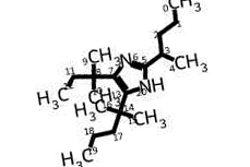 CCCC(C)c1nc(C(C)(C)CC)c(C(C)(C)CCC)[nH]1